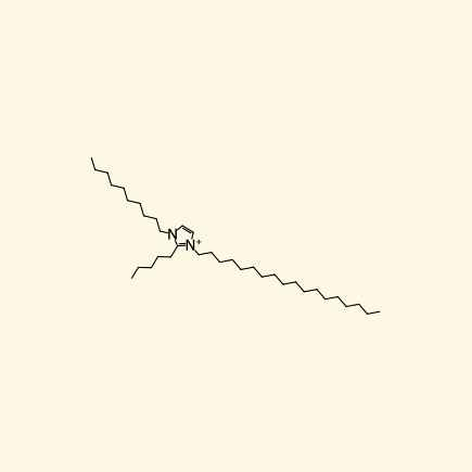 CCCCCCCCCCCCCCCCCC[n+]1ccn(CCCCCCCCCC)c1CCCCC